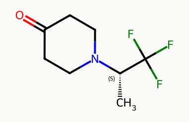 C[C@H](N1CCC(=O)CC1)C(F)(F)F